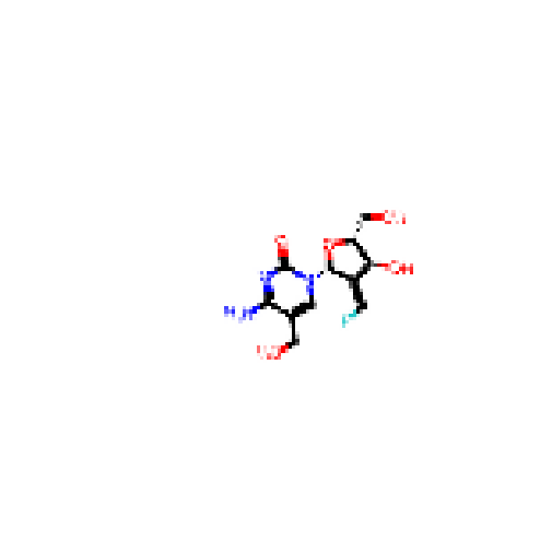 Nc1nc(=O)n([C@@H]2O[C@H](CO)[C@@H](O)/C2=C/F)cc1CO